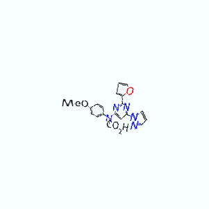 COc1ccc(N(C(=O)O)c2cc(-n3cccn3)nc(-c3ccco3)n2)cc1